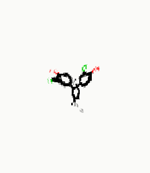 CC1=CC(c2ccc(O)c(Cl)c2)C(C)(c2ccc(O)c(Cl)c2)C=C1